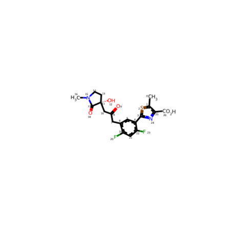 Cc1sc(-c2cc(CC(=O)C[C@]3(O)CCN(C)C3=O)c(F)cc2F)nc1C(=O)O